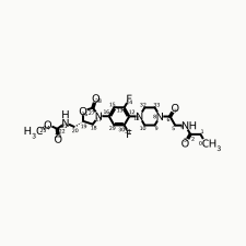 CCC(=O)NCC(=O)N1CCN(c2c(F)cc(N3C[C@H](CNC(=O)OC)OC3=O)cc2F)CC1